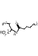 CC(=O)CCCC(=O)NC(CC(C)C)C(=O)O